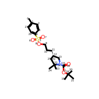 Cc1ccc(S(=O)(=O)OCCC[C@@H]2CN(C(=O)OC(C)(C)C)C(C)(C)C2)cc1